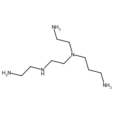 NCCCN(CCN)CCNCCN